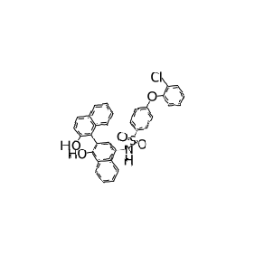 O=S(=O)(Nc1cc(-c2c(O)ccc3ccccc23)c(O)c2ccccc12)c1ccc(Oc2ccccc2Cl)cc1